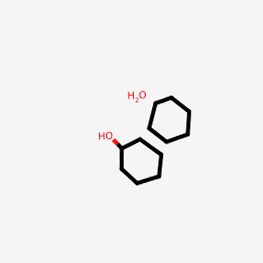 C1CCCCC1.O.OC1CCCCC1